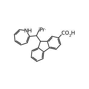 C[C](C)C(C1=CC=CC=CN1)C1c2ccccc2-c2ccc(C(=O)O)cc21